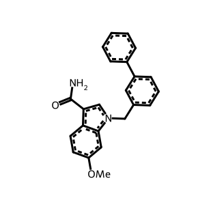 COc1ccc2c(C(N)=O)cn(Cc3cccc(-c4ccccc4)c3)c2c1